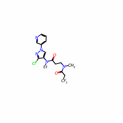 CCN(C(=O)CCN(C)C(=O)CC(F)(F)F)c1cn(-c2cccnc2)nc1Cl